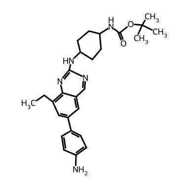 CCc1cc(-c2ccc(N)cc2)cc2cnc(NC3CCC(NC(=O)OC(C)(C)C)CC3)nc12